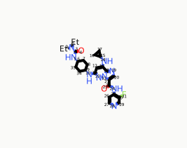 CCN(CC)C(=O)N[C@H]1CC[C@H](Nc2cc(NC3CC3)c3ncc(C(=O)Nc4ccncc4F)n3n2)CC1